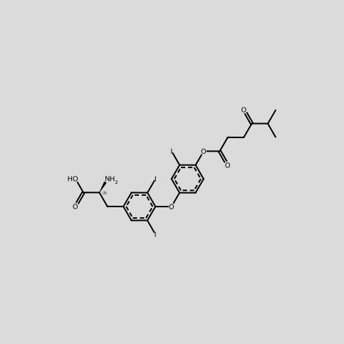 CC(C)C(=O)CCC(=O)Oc1ccc(Oc2c(I)cc(C[C@H](N)C(=O)O)cc2I)cc1I